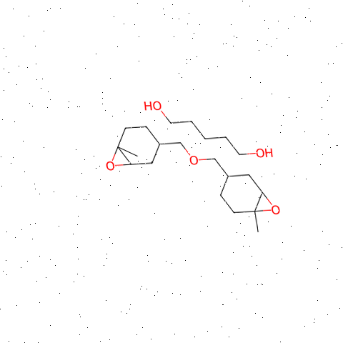 CC12CCC(COCC3CCC4(C)OC4C3)CC1O2.OCCCCCO